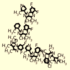 COc1nc(C)c2c(C)nc3c(F)cc(F)cc3n12.Cc1ccccc1-c1nc(C)c2c(C)nc3c(F)cc(F)cc3n12.Cc1ccncc1-c1nc(C)c2c(C)nc3c(F)cc(F)cc3n12.Cc1cnccc1-c1nc(C)c2c(C)nc3c(F)cc(F)cc3n12.Cc1nn(C)c(C)c1-c1nc(C)c2c(C)nc3ccc(Cl)cc3n12